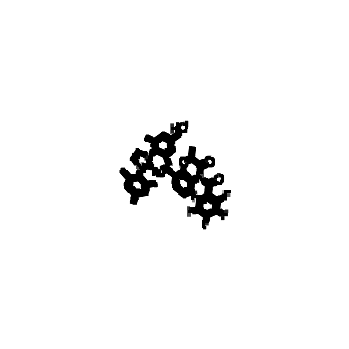 Cc1cc(C)c(N2CCN(c3c(C)cc(C)cc3C)[CH]2/[Ru]=[CH]/c2cccc3c2OC(C)C(=O)N3C(=O)c2c(F)c(F)c(F)c(F)c2F)c(C)c1.Cl